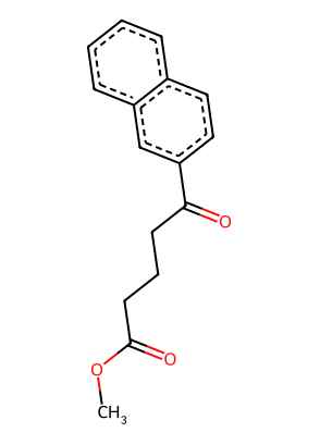 COC(=O)CCCC(=O)c1ccc2ccccc2c1